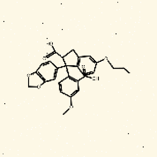 CCCOc1ccc2c(c1)CC(C(=O)O)C2(c1ccc2c(c1)OCO2)c1ccc(OC)cc1C(=O)O